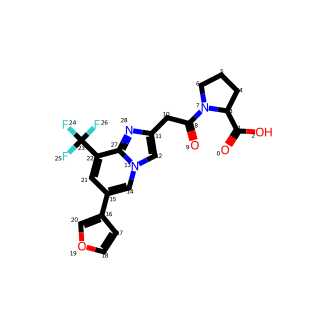 O=C(O)C1CCCN1C(=O)Cc1cn2cc(-c3ccoc3)cc(C(F)(F)F)c2n1